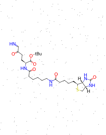 C[C@@H](CCCCNC(=O)CCCC[C@@H]1SC[C@H]2NC(=O)N[C@@H]12)C(=O)N[C@@H](CCC(=O)C=N)C(=O)OC(C)(C)C